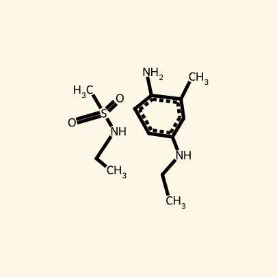 CCNS(C)(=O)=O.CCNc1ccc(N)c(C)c1